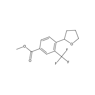 COC(=O)c1ccc(C2CCCO2)c(C(F)(F)F)c1